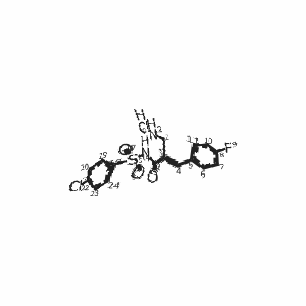 Cl.NC/C(=C\c1ccc(F)cc1)C(=O)NS(=O)(=O)c1ccc(Cl)cc1